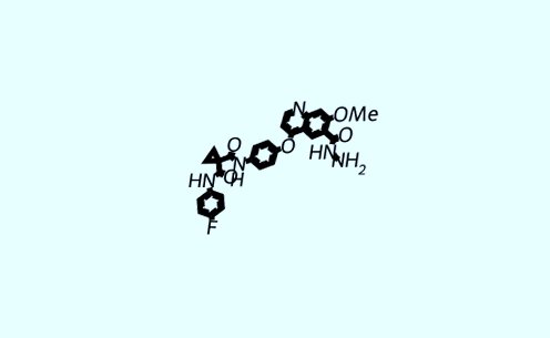 COc1cc2nccc(Oc3ccc(NC(=O)C4(C(=O)Nc5ccc(F)cc5)CC4)cc3)c2cc1C(=O)NN